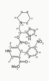 COC(=O)C1=C(C)NC(C)=C(C(=O)OC(CN2CCCCC2)c2ccc[nH]2)C1c1cccc([N+](=O)[O-])c1